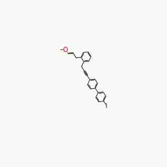 CO/C=C/Cc1ccccc1CC#Cc1ccc(-c2ccc(I)cc2)cc1